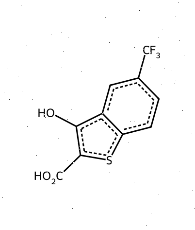 O=C(O)c1sc2ccc(C(F)(F)F)cc2c1O